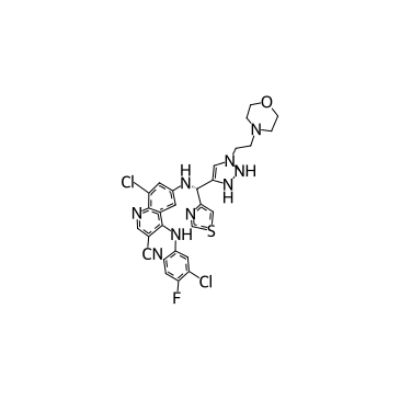 N#Cc1cnc2c(Cl)cc(N[C@H](C3=CN(CCN4CCOCC4)NN3)c3cscn3)cc2c1Nc1ccc(F)c(Cl)c1